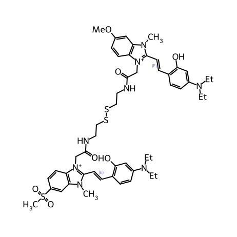 CCN(CC)c1ccc(/C=C/c2n(C)c3cc(OC)ccc3[n+]2CC(=O)NCCSSCCNC(=O)C[n+]2c(/C=C/c3ccc(N(CC)CC)cc3O)n(C)c3cc(S(C)(=O)=O)ccc32)c(O)c1